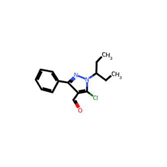 CCC(CC)n1nc(-c2ccccc2)c(C=O)c1Cl